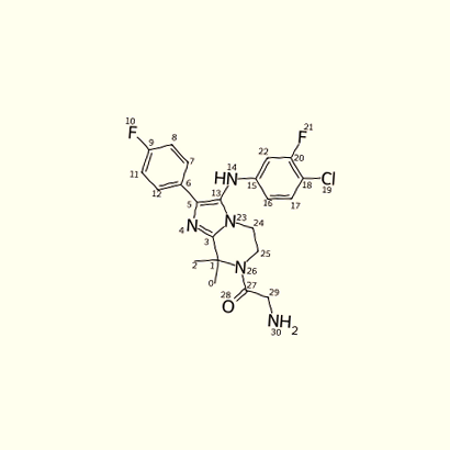 CC1(C)c2nc(-c3ccc(F)cc3)c(Nc3ccc(Cl)c(F)c3)n2CCN1C(=O)CN